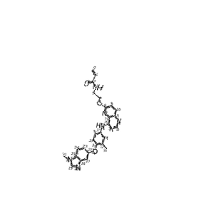 C=CC(=O)NCCOc1ccc2ncnc(Nc3ccc(Oc4ccc5c(c4)ncn5C)c(C)c3)c2n1